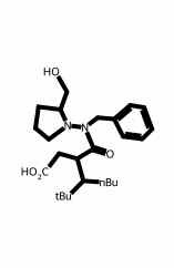 CCCCC(C(CC(=O)O)C(=O)N(Cc1ccccc1)N1CCCC1CO)C(C)(C)C